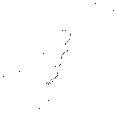 C#CCCCCOCCC